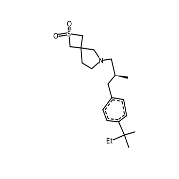 CCC(C)(C)c1ccc(C[C@H](C)CN2CCC3(C2)CS(=O)(=O)C3)cc1